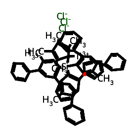 CC1=C(C)[C]([Ti+3])([Si](c2cc(C)c(-c3ccccc3)cc2-c2ccccc2)(c2cc(C)c(-c3ccccc3)cc2-c2ccccc2)c2cc(C)c(-c3ccccc3)cc2-c2ccccc2)C(C)=C1C.[Cl-].[Cl-].[Cl-]